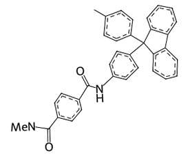 CNC(=O)c1ccc(C(=O)Nc2ccc(C3(c4ccc(C)cc4)c4ccccc4-c4ccccc43)cc2)cc1